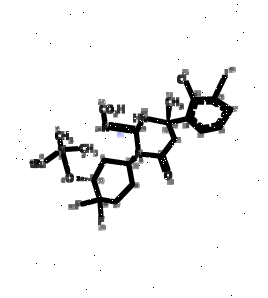 CC(C)(C)[Si](C)(C)O[C@@H]1C[C@@H](N2C(=O)C[C@@](C)(c3cccc(I)c3Cl)N/C2=N\C(=O)O)CCC1(F)F